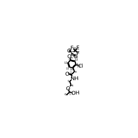 CC(O)OCCNC(=O)Cc1ccc(OS(=O)(=O)C(F)(F)F)cc1Cl